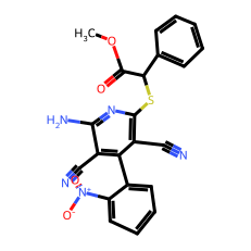 COC(=O)C(Sc1nc(N)c(C#N)c(-c2ccccc2[N+](=O)[O-])c1C#N)c1ccccc1